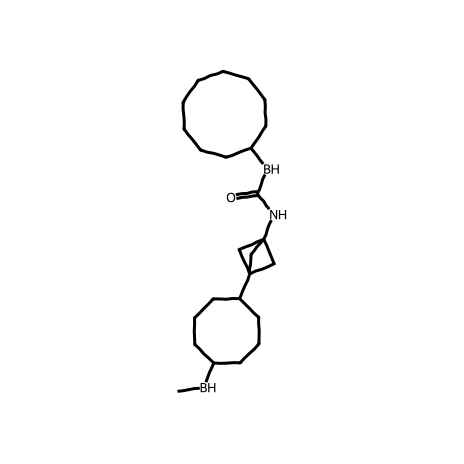 CBC1CCCC(C23CC(NC(=O)BC4CCCCCCCCC4)(C2)C3)CCC1